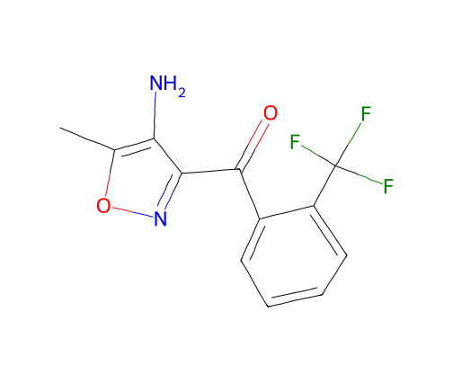 Cc1onc(C(=O)c2ccccc2C(F)(F)F)c1N